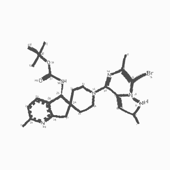 CC1=C(Br)N2NC(C)C=C2C(N2CCC3(CC2)Cc2nc(C)ccc2[C@H]3NC(=O)OC(C)(C)C)=N1